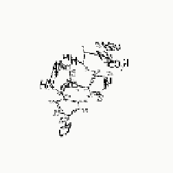 CC(C)(C)N(CCNc1n[nH]c(-c2ccc(Cl)cc2)c1-c1ccncc1)C(=O)O